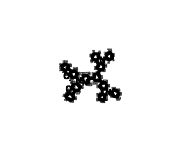 c1ccc(-n2c3ccccc3c3cc(-c4cc(-c5ccc(N(c6ccc7c(c6)oc6ccccc67)c6ccc7c(c6)oc6ccccc67)nc5)cc(-c5ccc6c(c5)c5ccccc5n6-c5ccccc5)c4)ccc32)cc1